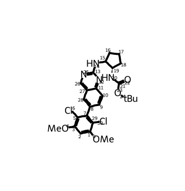 COc1cc(OC)c(Cl)c(-c2ccc3nc(NC4CCC[C@@H]4NC(=O)OC(C)(C)C)ncc3c2)c1Cl